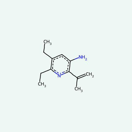 C=C(C)c1nc(CC)c(CC)cc1N